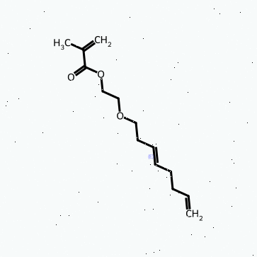 C=CCC/C=C/CCOCCOC(=O)C(=C)C